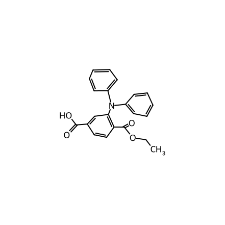 CCOC(=O)c1ccc(C(=O)O)cc1N(c1ccccc1)c1ccccc1